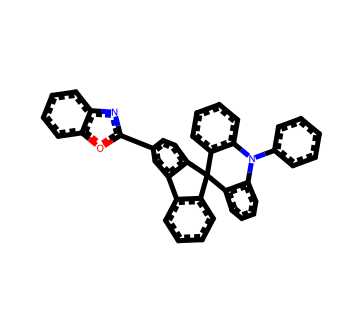 c1ccc(N2c3ccccc3C3(c4ccccc4-c4cc(-c5nc6ccccc6o5)ccc43)c3ccccc32)cc1